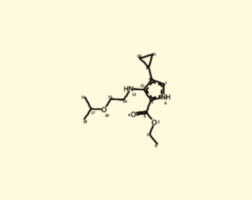 CCOC(=O)c1[nH]cc(C2CC2)c1NCCOC(C)C